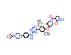 CC1C=C(O[C@H]2CCN(C(=O)C3CCNC3=O)C[C@H]2F)C(C#N)=CC1c1ncnc(Nc2ccc(N3CCN(C4COC4)CC3)cc2)n1